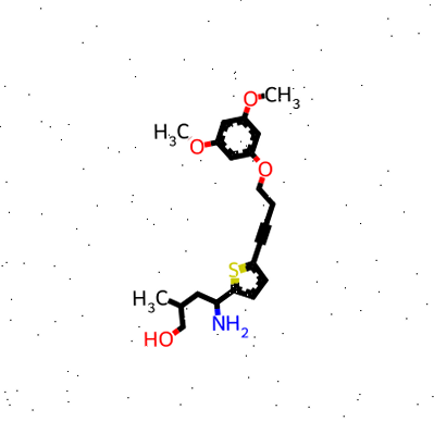 COc1cc(OC)cc(OCCC#Cc2ccc(C(N)CC(C)CO)s2)c1